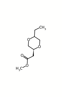 CCC1CO[C@@H](CC(=O)OC)CO1